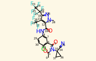 CC(=O)N(C(=O)c1cc(NC(=O)c2c(C(F)(F)F)c(C(F)(F)C(F)(F)F)nn2C)ccc1Cl)C1(C#N)CC1